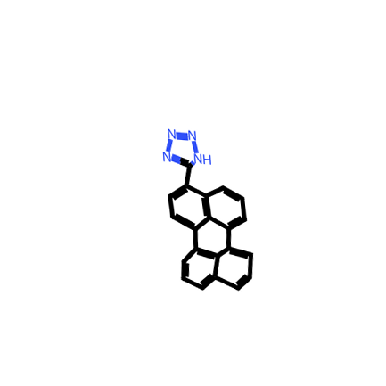 c1cc2cccc3c4ccc(-c5nnn[nH]5)c5cccc(c(c1)c23)c54